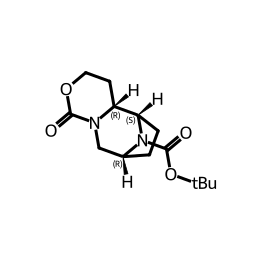 CC(C)(C)OC(=O)N1[C@@H]2CC[C@H]1[C@H]1CCOC(=O)N1C2